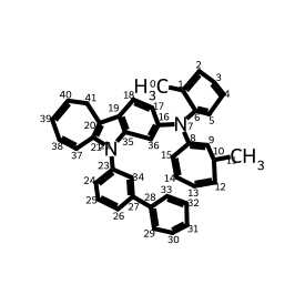 Cc1ccccc1N(C1=CC(C)C=CC=C1)c1ccc2c3c(n(-c4cccc(-c5ccccc5)c4)c2c1)C=CC=CC3